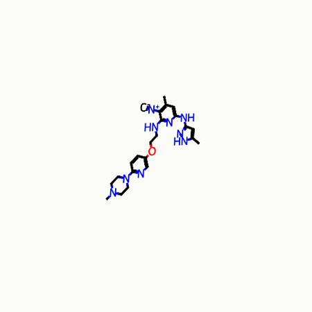 [C-]#[N+]c1c(C)cc(Nc2cc(C)[nH]n2)nc1NCCOc1ccc(N2CCN(C)CC2)nc1